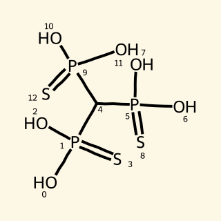 OP(O)(=S)C(P(O)(O)=S)P(O)(O)=S